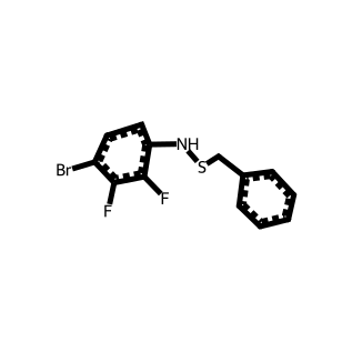 Fc1c(Br)ccc(NSCc2ccccc2)c1F